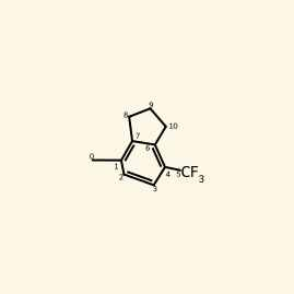 Cc1ccc(C(F)(F)F)c2c1CCC2